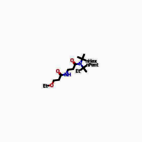 CCCCCCC(C)(C)N(C(=O)CCNC(=O)CCOCC)C(C)(CC)CCCCC